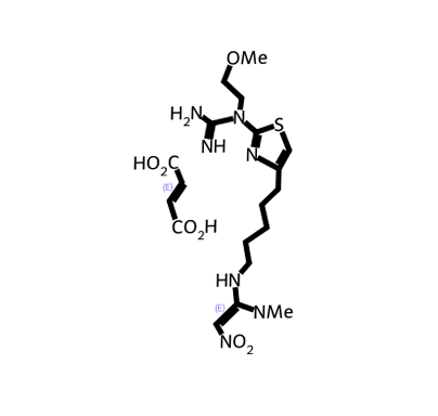 CN/C(=C\[N+](=O)[O-])NCCCCCc1csc(N(CCOC)C(=N)N)n1.O=C(O)/C=C/C(=O)O